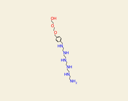 NCCNCCNCCNCCNCCNCc1ccc(COCCOCCO)cc1